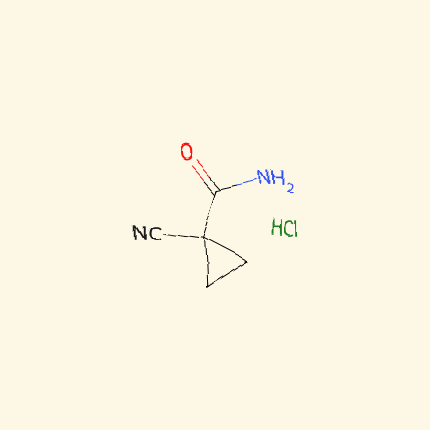 Cl.N#CC1(C(N)=O)CC1